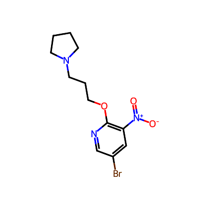 O=[N+]([O-])c1cc(Br)cnc1OCCCN1CCCC1